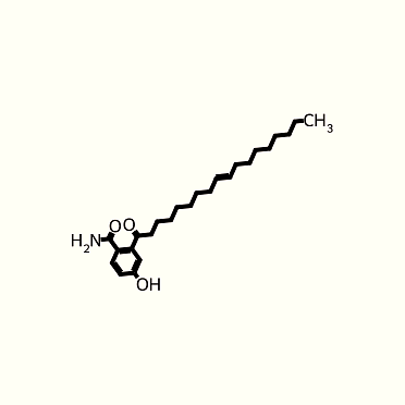 CCCCCCCCC=CCCCCCCCC(=O)c1cc(O)ccc1C(N)=O